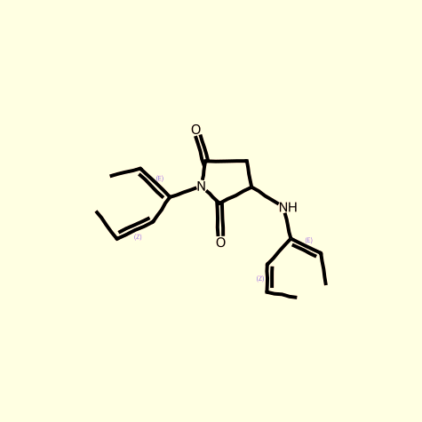 C/C=C\C(=C/C)NC1CC(=O)N(C(/C=C\C)=C/C)C1=O